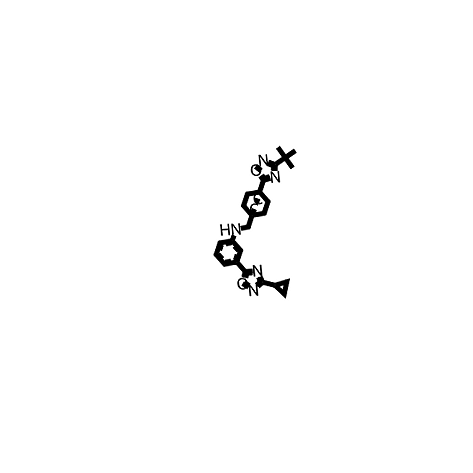 CC(C)(C)c1noc(C23CCC(CNc4cccc(-c5nc(C6CC6)no5)c4)(CC2)CC3)n1